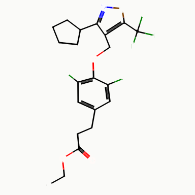 CCOC(=O)CCc1cc(F)c(OCc2c(C3CCCC3)nsc2C(F)(F)F)c(F)c1